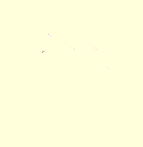 C=CC(=O)N1C[C@H](C)N(c2nc(=O)n3c4c2=CC(c2ccc(F)cc2F)C=4S(=O)(=O)CC3)C[C@H]1C